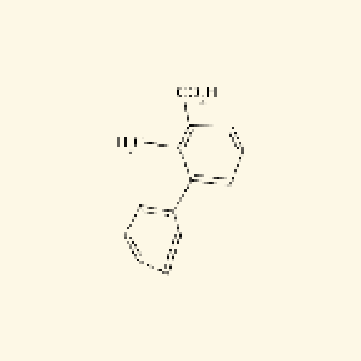 Cc1c(C(=O)O)cccc1-c1ccccc1